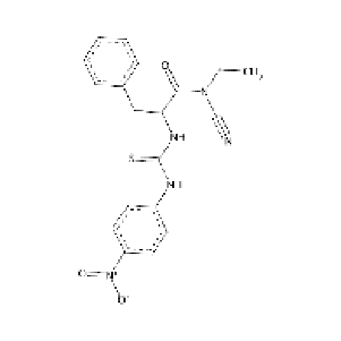 CCN(C#N)C(=O)C(Cc1ccccc1)NC(=S)Nc1ccc([N+](=O)[O-])cc1